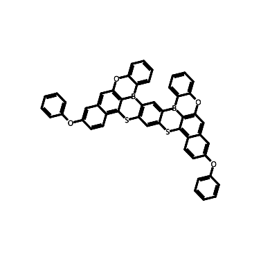 c1ccc(Oc2ccc3c4c5c(cc3c2)Oc2ccccc2B5c2cc3c(cc2S4)Sc2c4c(cc5cc(Oc6ccccc6)ccc25)Oc2ccccc2B34)cc1